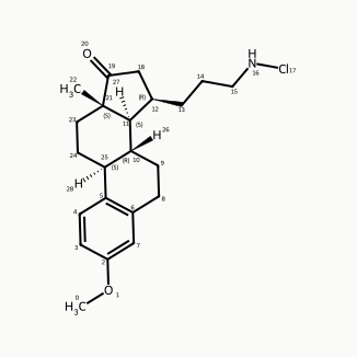 COc1ccc2c(c1)CC[C@H]1[C@@H]3[C@H](CCCNCl)CC(=O)[C@@]3(C)CC[C@H]21